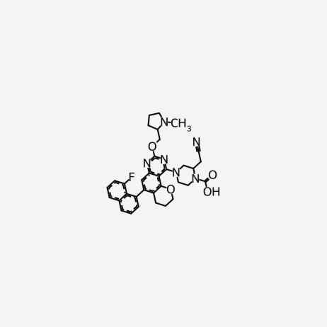 CN1CCCC1COc1nc(N2CCN(C(=O)O)C(CC#N)C2)c2c3c(c(-c4cccc5cccc(F)c45)cc2n1)CCCO3